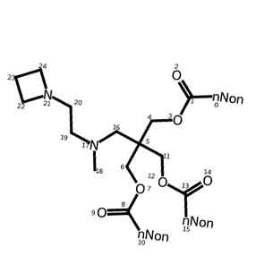 CCCCCCCCCC(=O)OCC(COC(=O)CCCCCCCCC)(COC(=O)CCCCCCCCC)CN(C)CCN1CCC1